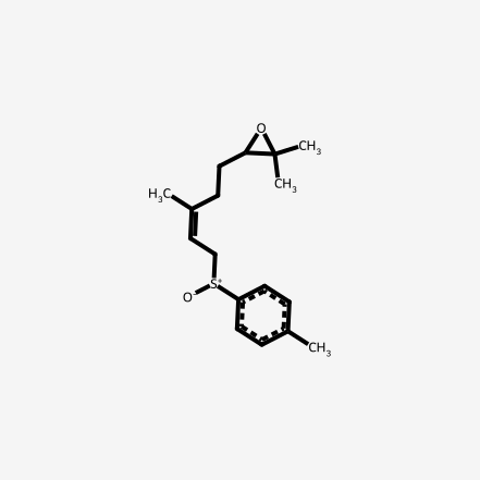 CC(=CC[S+]([O-])c1ccc(C)cc1)CCC1OC1(C)C